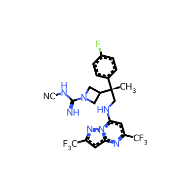 C[C@](CNc1cc(C(F)(F)F)nc2cc(C(F)(F)F)nn12)(c1ccc(F)cc1)C1CN(C(=N)NC#N)C1